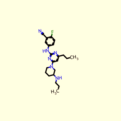 CCCNC1CCCN(c2cc(CCC)nc(Nc3ccc(F)c(C#N)c3)n2)C1